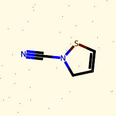 N#CN1CC=CS1